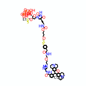 CCS(=S)COC1C[C@H](n2cc(C#CCNC(=O)OCCCCOCSSc3ccc(CC(=O)NCCOCCCn4cc(CNC(=O)c5ccc(C(=O)O)c(C6=c7cc8c9c(c7Oc7c6cc6c%10c7CCCN%10CCC6)CCC[N+]=9CCC8)c5)nn4)cc3)c(=O)[nH]c2=O)O[C@@H]1COP(=O)(O)OP(=O)(O)OP(=O)(O)O